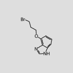 BrCCCOc1cccc2[nH]cnc12